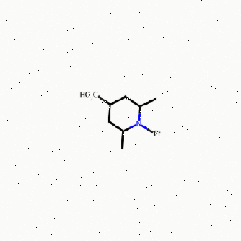 CC(C)N1C(C)CC(C(=O)O)CC1C